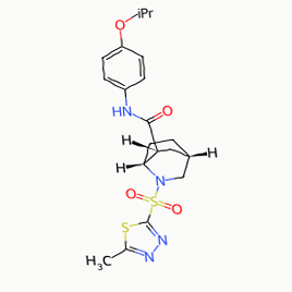 Cc1nnc(S(=O)(=O)N2C[C@H]3CC[C@@H]2[C@H](C(=O)Nc2ccc(OC(C)C)cc2)C3)s1